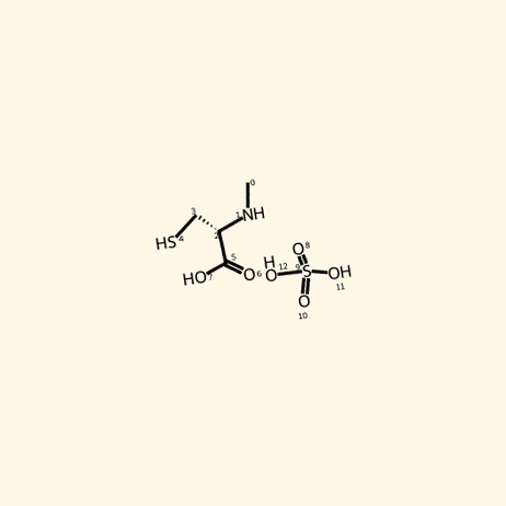 CN[C@@H](CS)C(=O)O.O=S(=O)(O)O